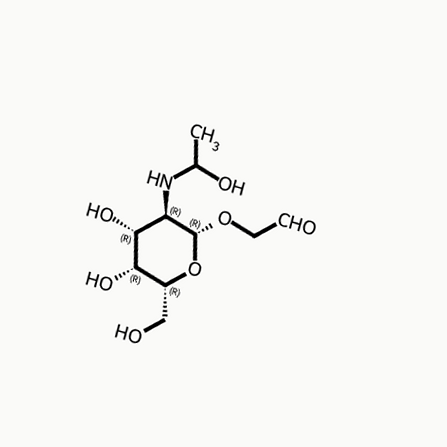 CC(O)N[C@H]1[C@H](OCC=O)O[C@H](CO)[C@H](O)[C@@H]1O